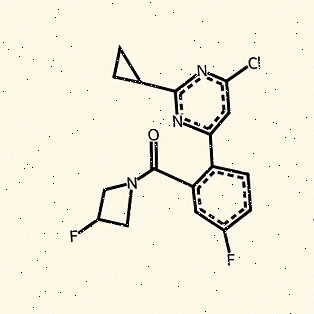 O=C(c1cc(F)ccc1-c1cc(Cl)nc(C2CC2)n1)N1CC(F)C1